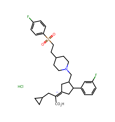 Cl.O=C(O)/C(CC1CC1)=C1/CC(CN2CCC(CCS(=O)(=O)c3ccc(F)cc3)CC2)C(c2cccc(F)c2)C1